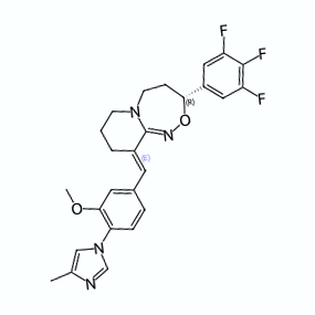 COc1cc(/C=C2\CCCN3CC[C@H](c4cc(F)c(F)c(F)c4)ON=C23)ccc1-n1cnc(C)c1